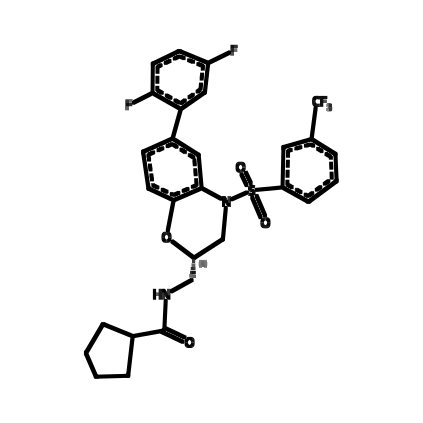 O=C(NC[C@H]1CN(S(=O)(=O)c2cccc(C(F)(F)F)c2)c2cc(-c3cc(F)ccc3F)ccc2O1)C1CCCC1